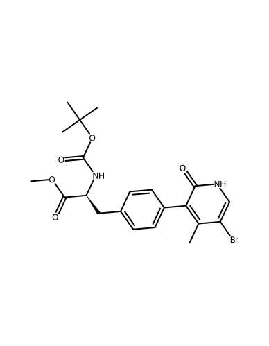 COC(=O)[C@H](Cc1ccc(-c2c(C)c(Br)c[nH]c2=O)cc1)NC(=O)OC(C)(C)C